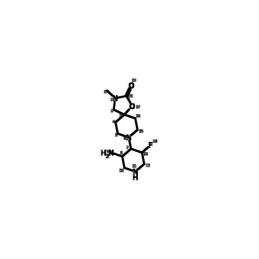 CN1CC2(CCN(C3C(N)CNCC3F)CC2)OC1=O